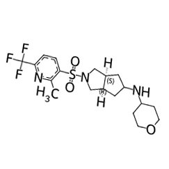 Cc1nc(C(F)(F)F)ccc1S(=O)(=O)N1C[C@H]2CC(NC3CCOCC3)C[C@H]2C1